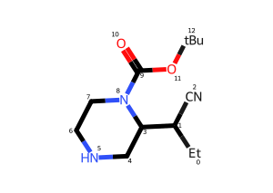 CCC(C#N)C1CNCCN1C(=O)OC(C)(C)C